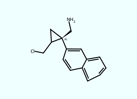 NC[C@]1(c2ccc3ccccc3c2)CC1CCl